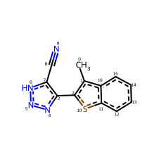 Cc1c(-c2nn[nH]c2C#N)sc2ccccc12